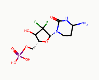 NC1CCN([C@@H]2O[C@H](COP(=O)(O)O)C(O)C2(F)F)C(=O)N1